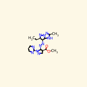 C=Cc1nn2nc(C)[nH]c2c1/N=N/c1c(C(=O)OC)cnn1-c1ncccn1